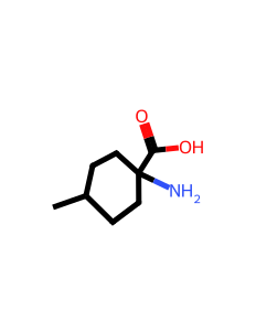 CC1CCC(N)(C(=O)O)CC1